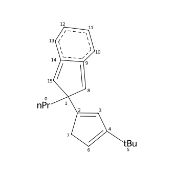 C[C]CC1(C2=CC(C(C)(C)C)=CC2)C=c2ccccc2=C1